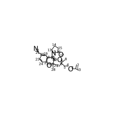 CC(C)OCCC(C)(C)O[C@H]1[C@H](N2CCCC2=O)c2cc(C#N)ccc2OC1(C)C